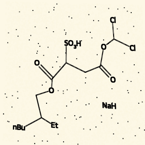 CCCCC(CC)COC(=O)C(CC(=O)OC(Cl)Cl)S(=O)(=O)O.[NaH]